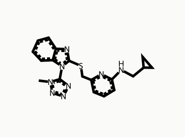 Cn1nnnc1-n1c(SCc2cccc(NCC3CC3)n2)nc2ccccc21